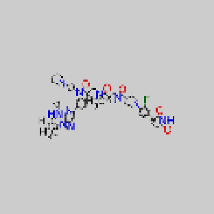 CC(C)n1cnc2cc(-c3ccc4c(c3)N(C3CC(N5CCCCC5)C3)C(=O)C43CCN(C(=O)[C@]4(C)CCN(C(=O)C5CCN(c6ccc([C@H]7CCC(=O)NC7=O)cc6F)CC5)C4)CC3)nc(NC3CC3)c21